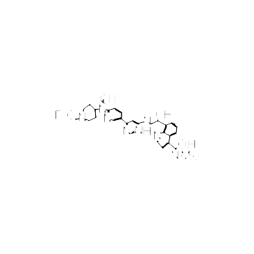 CNC(O)c1ccnc2c([C@H](C)CNc3cc(-c4ccc(N(C)C5CCN(CC(F)(F)F)CC5)nc4)ncn3)cccc12